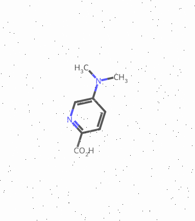 CN(C)c1ccc(C(=O)O)nc1